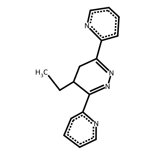 CCC1CC(c2ccccn2)=NN=C1c1ccccn1